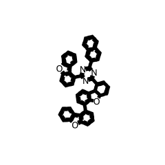 C1=CC2Oc3c(-c4cccc5oc6ccccc6c45)cccc3C2C(c2nc(-c3ccc4ccccc4c3)nc(-c3cccc4oc5ccccc5c34)n2)=C1